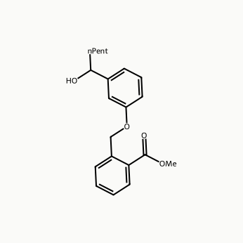 CCCCCC(O)c1cccc(OCc2ccccc2C(=O)OC)c1